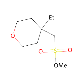 CCC1(CS(=O)(=O)OC)CCOCC1